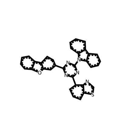 c1ccc2c(c1)oc1cc(-c3nc(-c4cccc5scnc45)nc(-n4c5ccccc5c5ccccc54)n3)ccc12